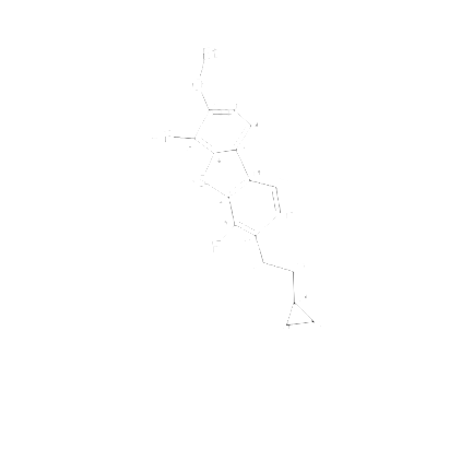 CCOc1ccc2c(sc3c(F)c(CCC4CC4)ccc32)c1F